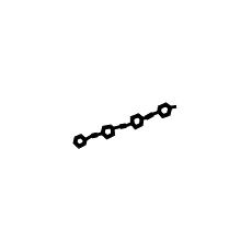 Cc1ccc(C#Cc2ccc(C#Cc3ccc(C#Cc4ccccc4)cc3)cc2)cc1